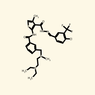 CCN(CC)CCN(C)Cc1cccc(C(=O)Nc2scc(C)c2C(=O)NN=Cc2ccc(Cl)c(C(F)(F)F)c2)c1